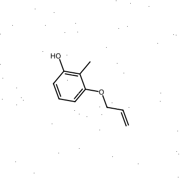 C=CCOc1cccc(O)c1C